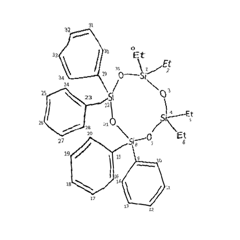 CC[Si]1(CC)O[Si](CC)(CC)O[Si](c2ccccc2)(c2ccccc2)O[Si](c2ccccc2)(c2ccccc2)O1